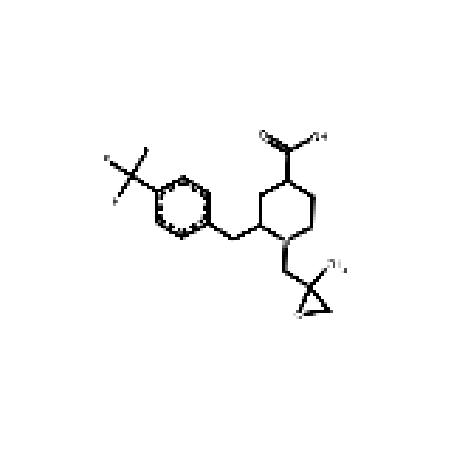 CC1(CN2CCC(C(=O)O)CC2Cc2ccc(C(F)(F)F)cc2)CO1